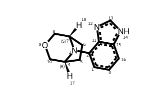 c1cc(N2[C@@H]3CC[C@H]2COC3)c2nc[nH]c2c1